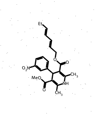 CCC=CC=CCOC(=O)C1=C(C)NC(C)=C(C(=O)OC)C1c1cccc([N+](=O)[O-])c1